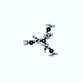 CSCC[C@H](NC(=O)C1CC(C(=O)N[C@@H](CCSC)C(=O)NCc2ccc(B(O)O)cc2)CC(C(=O)N[C@@H](CCSC)C(=O)NCc2ccc(B(O)O)cc2)C1)C(=O)NCc1ccc(B(O)O)cc1